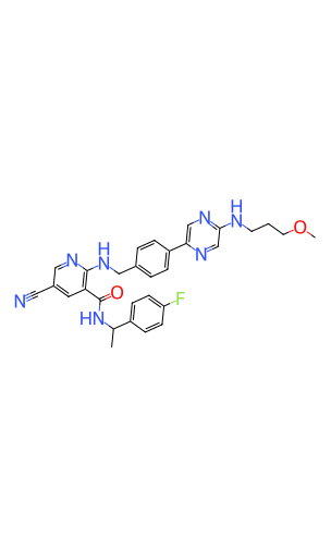 COCCCNc1cnc(-c2ccc(CNc3ncc(C#N)cc3C(=O)NC(C)c3ccc(F)cc3)cc2)cn1